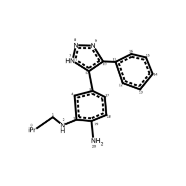 CC(C)CNc1cc(-c2[nH]nnc2-c2ccccc2)ccc1N